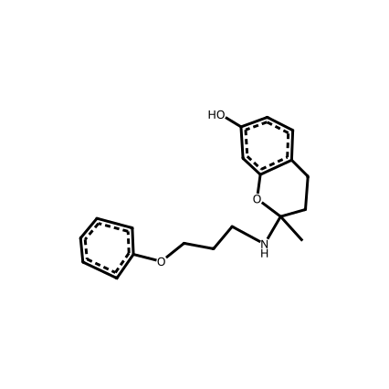 CC1(NCCCOc2ccccc2)CCc2ccc(O)cc2O1